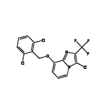 FC(F)(F)c1nc2c(OCc3c(Cl)cccc3Cl)cccn2c1Cl